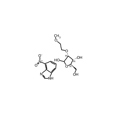 COCCO[C@H]1C(O)O[C@H](CO)[C@H]1O.O=[N+]([O-])c1cccc2[nH]cnc12